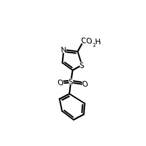 O=C(O)c1ncc(S(=O)(=O)c2ccccc2)s1